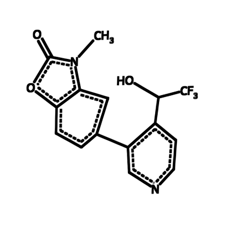 Cn1c(=O)oc2ccc(-c3cnccc3C(O)C(F)(F)F)cc21